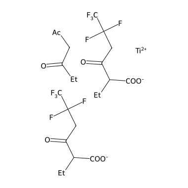 CCC(=O)CC(C)=O.CCC(C(=O)[O-])C(=O)CC(F)(F)C(F)(F)F.CCC(C(=O)[O-])C(=O)CC(F)(F)C(F)(F)F.[Ti+2]